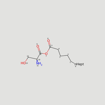 CCCCCCCCCCCC(=O)OC(=O)[C@@H](N)CO